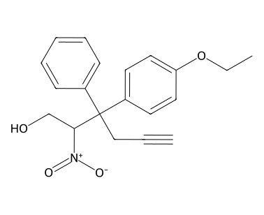 C#CCC(c1ccccc1)(c1ccc(OCC)cc1)C(CO)[N+](=O)[O-]